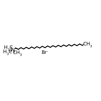 CCCCCCCCCCCCCCCCCCCCCCCCCCC[N+](C)(C)C.[Br-]